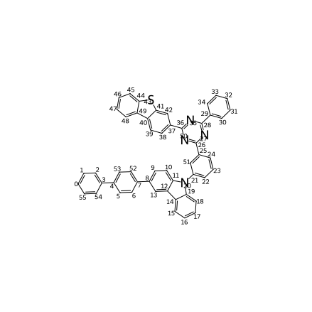 c1ccc(-c2ccc(-c3ccc4c(c3)c3ccccc3n4-c3cccc(-c4nc(-c5ccccc5)nc(-c5ccc6c(c5)sc5ccccc56)n4)c3)cc2)cc1